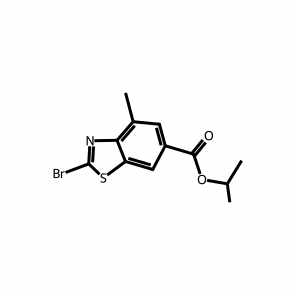 Cc1cc(C(=O)OC(C)C)cc2sc(Br)nc12